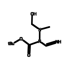 CN(CO)N(C=N)C(=O)OC(C)(C)C